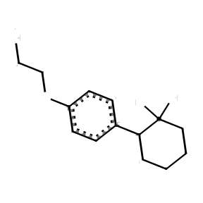 O=CC1(O)CCCCC1c1ccc(OCCO)cc1